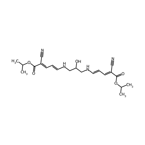 CC(C)OC(=O)/C(C#N)=C/C=C/NCC(O)CN/C=C/C=C(\C#N)C(=O)OC(C)C